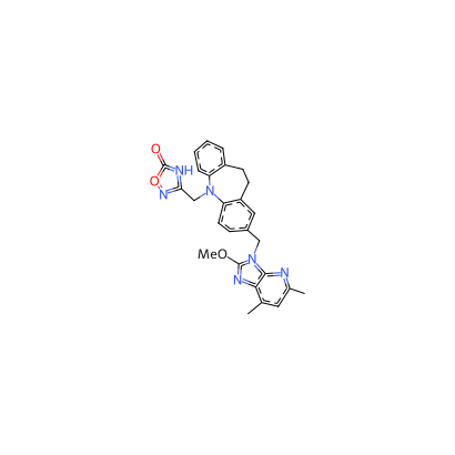 COc1nc2c(C)cc(C)nc2n1Cc1ccc2c(c1)CCc1ccccc1N2Cc1noc(=O)[nH]1